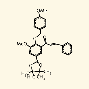 COc1ccc(COc2c(OC)cc(B3OC(C)(C)C(C)(C)O3)cc2C(=O)/C=C/c2ccccc2)cc1